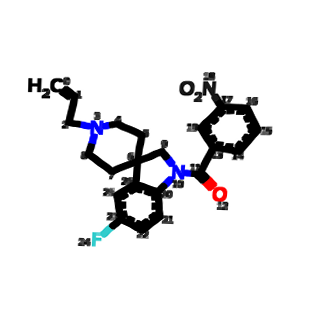 C=CCN1CCC2(CC1)CN(C(=O)c1cccc([N+](=O)[O-])c1)c1ccc(F)cc12